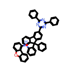 c1ccc(-c2nc(-c3ccccc3)nc(-c3ccc4c(c3)-c3ccccc3C4(c3ccccc3)c3ccccc3Nc3cccc4oc5ccccc5c34)n2)cc1